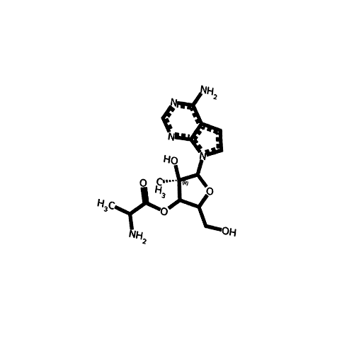 CC(N)C(=O)OC1C(CO)OC(n2ccc3c(N)ncnc32)[C@]1(C)O